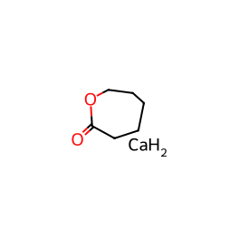 O=C1CCCCCO1.[CaH2]